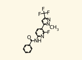 Cn1nc(C(F)(F)F)cc1-c1ccc(NC(=O)c2ccccc2)nc1F